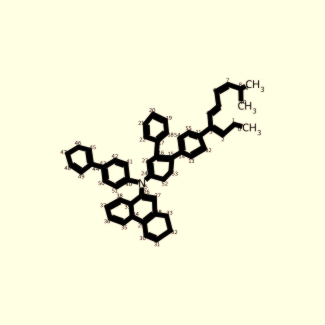 CC\C=C(/C=C/C=C\C(C)C)c1ccc(C2=C(c3ccccc3)C=C(N(C3=CC4=C(C=CCC4)C4C=CC=CC34)c3ccc(C4=CCCC=C4)cc3)CC2)cc1